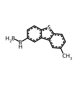 BBc1ccc2sc3ccc(C)cc3c2c1